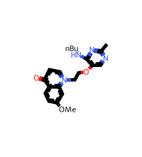 CCCCNc1nc(C)ncc1OCCn1ccc(=O)c2ccc(OC)cc21